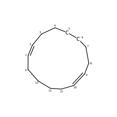 [CH]1C=CCCCCCCC=CCCC1